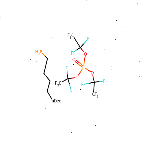 CCCCCCCCCCCCCCP.O=P(OC(F)(F)C(F)(F)F)(OC(F)(F)C(F)(F)F)OC(F)(F)C(F)(F)F